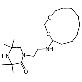 CC1(C)CN(CCNC2CCCCCCCCCCC2)C(=O)C(C)(C)N1